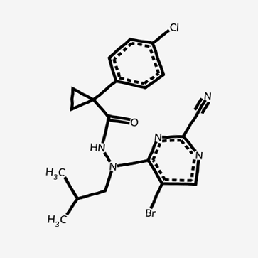 CC(C)CN(NC(=O)C1(c2ccc(Cl)cc2)CC1)c1nc(C#N)ncc1Br